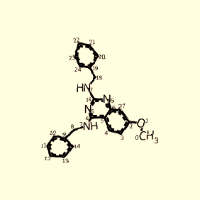 COc1ccc2c(NCc3ccccc3)nc(NCc3ccccc3)nc2c1